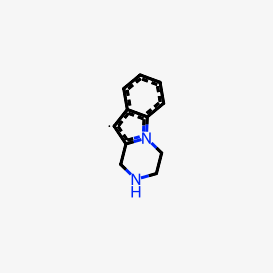 [c]1c2n(c3ccccc13)CCNC2